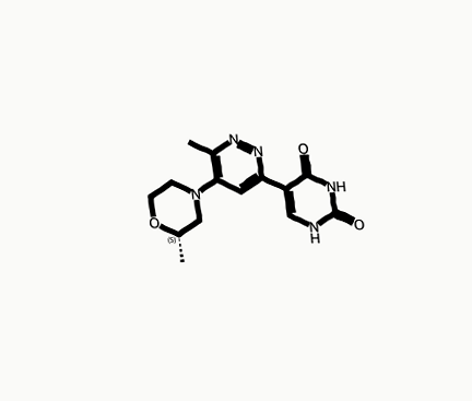 Cc1nnc(-c2c[nH]c(=O)[nH]c2=O)cc1N1CCO[C@@H](C)C1